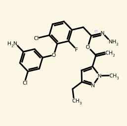 C=C(O/C(Cc1ccc(Cl)c(Oc2cc(N)cc(Cl)c2)c1F)=N\N)c1cc(CC)nn1C